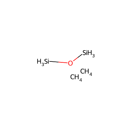 C.C.[SiH3]O[SiH3]